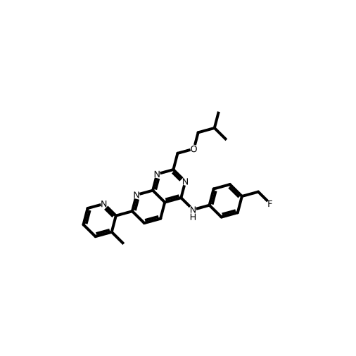 Cc1cccnc1-c1ccc2c(Nc3ccc(CF)cc3)nc(COCC(C)C)nc2n1